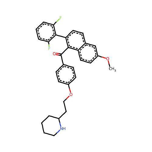 COc1ccc2c(C(=O)c3ccc(OCCC4CCCCN4)cc3)c(-c3c(F)cccc3F)ccc2c1